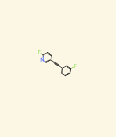 Fc1cccc(C#Cc2ccc(F)nc2)c1